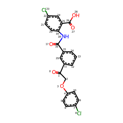 O=C(COc1ccc(Cl)cc1)c1cccc(C(=O)Nc2ccc(Cl)cc2C(=O)O)c1